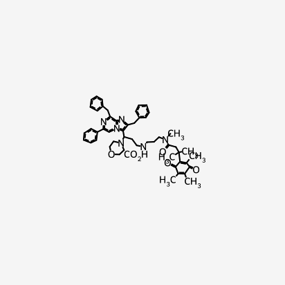 CC1=C(C)C(=O)C(C(C)(C)CC(=O)N(C)CCCN(CCC(c2c(Cc3ccccc3)nc3c(Cc4ccccc4)nc(-c4ccccc4)cn23)N2CCOCC2)C(=O)O)=C(C)C1=O